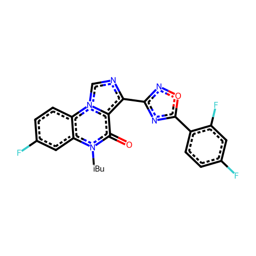 CCC(C)n1c(=O)c2c(-c3noc(-c4ccc(F)cc4F)n3)ncn2c2ccc(F)cc21